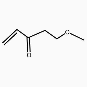 C=CC(=O)CCOC